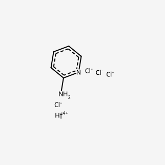 Nc1ccccn1.[Cl-].[Cl-].[Cl-].[Cl-].[Hf+4]